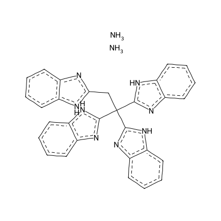 N.N.c1ccc2[nH]c(CC(c3nc4ccccc4[nH]3)(c3nc4ccccc4[nH]3)c3nc4ccccc4[nH]3)nc2c1